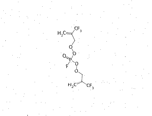 C=C(COOP(=O)(F)OOCC(=C)C(F)(F)F)C(F)(F)F